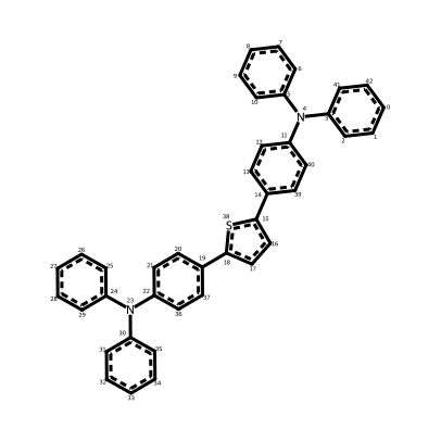 c1ccc(N(c2ccccc2)c2ccc(-c3ccc(-c4ccc(N(c5ccccc5)c5ccccc5)cc4)s3)cc2)cc1